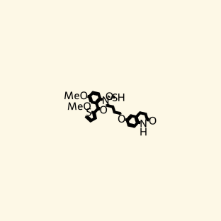 COc1ccc([N+](=CCCCOc2ccc3c(c2)CCC(=O)N3)OS)c(C(=O)c2cccs2)c1OC